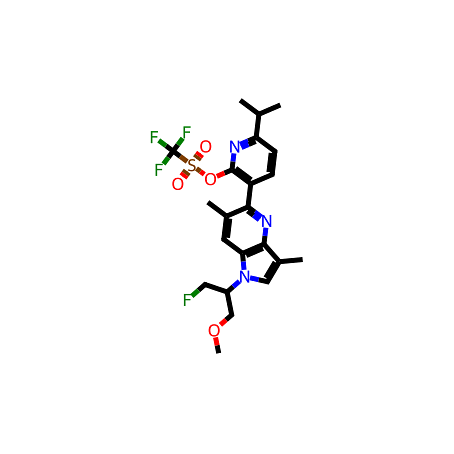 COCC(CF)n1cc(C)c2nc(-c3ccc(C(C)C)nc3OS(=O)(=O)C(F)(F)F)c(C)cc21